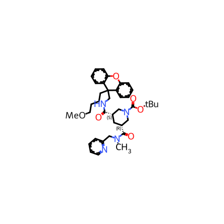 COCCCCC1(CNC(=O)[C@H]2C[C@@H](C(=O)N(C)Cc3ccccn3)CN(C(=O)OC(C)(C)C)C2)c2ccccc2Oc2ccccc21